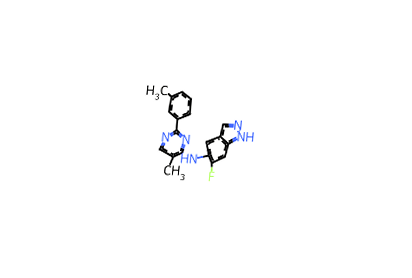 Cc1cccc(-c2ncc(C)c(Nc3cc4cn[nH]c4cc3F)n2)c1